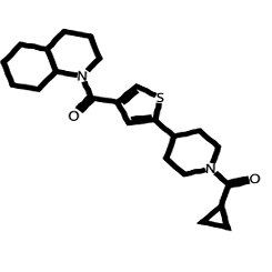 O=C(C1CC1)N1CCC(c2cc(C(=O)N3CCCC4CCCCC43)cs2)CC1